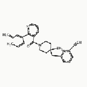 BC1(Cc2cccc(C#C)n2)CCN(C(=O)c2cccnc2C(/C=C\C)=C/C=C)CC1